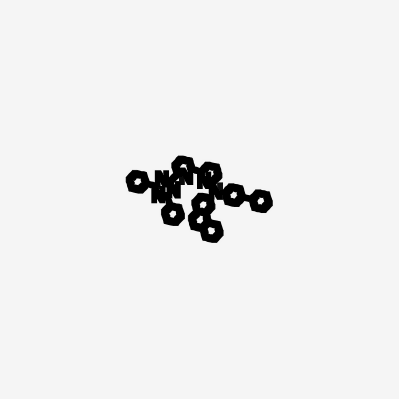 c1ccc(-c2ccc(N(c3ccc4ccc5ccccc5c4c3)c3cccc(-c4cccc(-c5nc(-c6ccccc6)nc(-c6ccccc6)n5)n4)n3)cc2)cc1